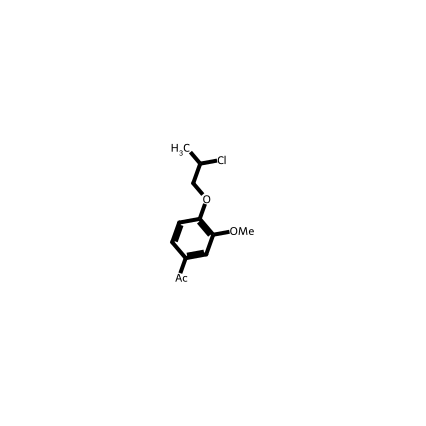 COc1cc(C(C)=O)ccc1OCC(C)Cl